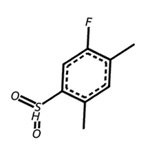 Cc1cc(C)c([SH](=O)=O)cc1F